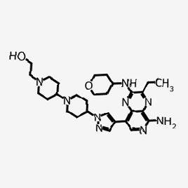 CCc1nc2c(N)ncc(-c3cnn(C4CCN(C5CCN(CCO)CC5)CC4)c3)c2nc1NC1CCOCC1